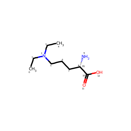 CCN(CC)CCC[C@H](N)C(=O)O